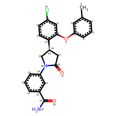 Cc1cccc(Oc2cc(Cl)ccc2[C@H]2CC(=O)N(c3cccc(C(N)=O)c3)C2)c1